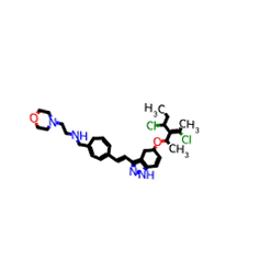 CCC(Cl)/C(=C(\C)Cl)C(C)OC1C=Cc2[nH]nc(/C=C/C3=CC=C(CNCCN4CCOCC4)CC=C3)c2C1